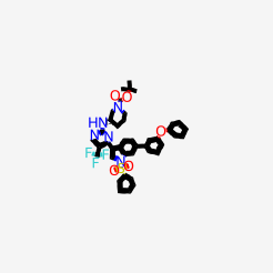 CC(C)(C)OC(=O)N1CCC[C@H](Nc2ncc(C(F)(F)F)c(-c3cn(S(=O)(=O)c4ccccc4)c4cc(-c5cccc(Oc6ccccc6)c5)ccc34)n2)C1